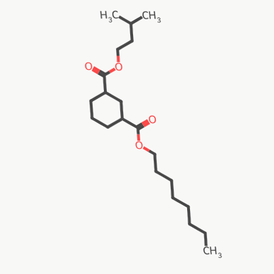 CCCCCCCCOC(=O)C1CCCC(C(=O)OCCC(C)C)C1